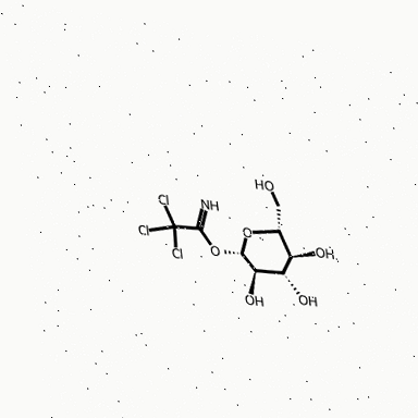 N=C(O[C@@H]1O[C@H](CO)[C@@H](O)[C@H](O)[C@H]1O)C(Cl)(Cl)Cl